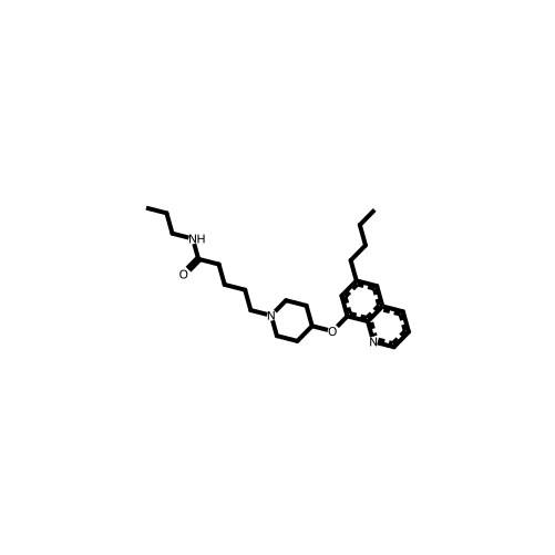 CCCCc1cc(OC2CCN(CCCCC(=O)NCCC)CC2)c2ncccc2c1